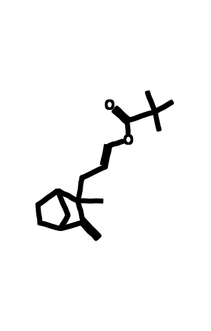 C=C1C2CCC(C2)C1(C)C/C=C/OC(=O)C(C)(C)C